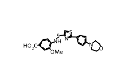 COc1cc(C(=O)O)ccc1NSc1csc(-c2ccc(N3CCOCC3)cc2)n1